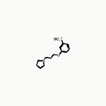 O=C(O)c1cccc(OCCCN2CCCC2)c1